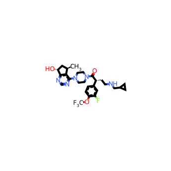 C[C@@H]1C[C@@H](O)c2ncnc(N3CCN(C(=O)[C@H](CCNCC4CC4)c4ccc(OC(F)(F)F)c(F)c4)CC3)c21